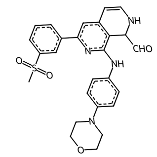 CS(=O)(=O)c1cccc(-c2cc3c(c(Nc4ccc(N5CCOCC5)cc4)n2)C(C=O)NC=C3)c1